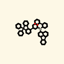 c1ccc(-c2ccccc2N(c2cccc(-c3cccc4c3-c3ccccc3C4(c3ccccc3)c3ccccc3)c2)c2ccc3c4c(cccc24)-c2ccccc2-3)cc1